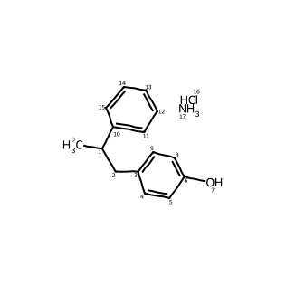 CC(Cc1ccc(O)cc1)c1ccccc1.Cl.N